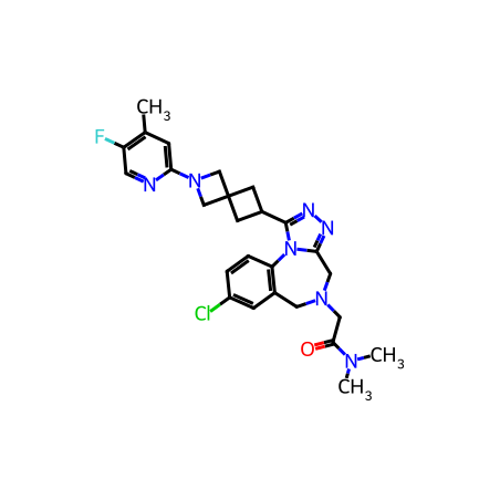 Cc1cc(N2CC3(CC(c4nnc5n4-c4ccc(Cl)cc4CN(CC(=O)N(C)C)C5)C3)C2)ncc1F